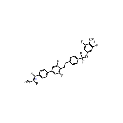 CCC/C(F)=C(\F)c1ccc(-c2cc(F)c(CCc3ccc(C(F)(F)Oc4cc(F)c(C(F)(F)F)c(F)c4)cc3)c(F)c2)cc1